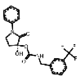 O=C(NCc1cccc(C(F)(F)F)c1)O[C@@]1(O)CCN(c2ccccc2)C1=O